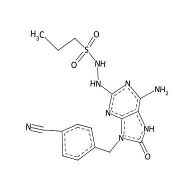 CCCS(=O)(=O)NNc1nc(N)c2[nH]c(=O)n(Cc3ccc(C#N)cc3)c2n1